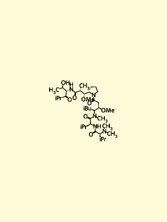 CC[C@H](C)[C@@H]([C@@H](CC(=O)N1CCC[C@H]1[C@H](OC)[C@@H](C)C(=O)N[C@H](C(=O)C(C)C)C(C)O)OC)N(C)C(=O)[C@@H](NC(=O)[C@H](C(C)C)N(C)C)C(C)C